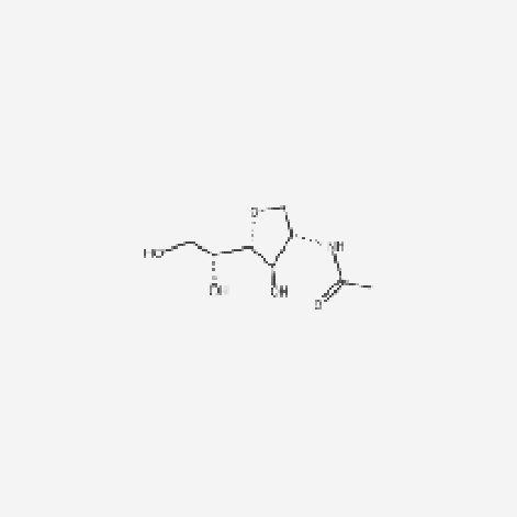 CC(=O)N[C@H]1[CH]O[C@@H]([C@H](O)CO)[C@@H]1O